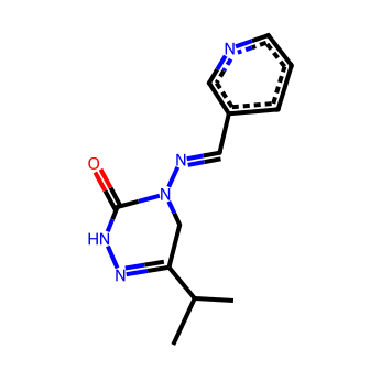 CC(C)C1=NNC(=O)N(N=Cc2cccnc2)C1